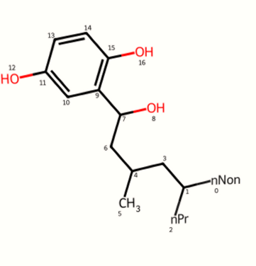 CCCCCCCCCC(CCC)CC(C)CC(O)c1cc(O)ccc1O